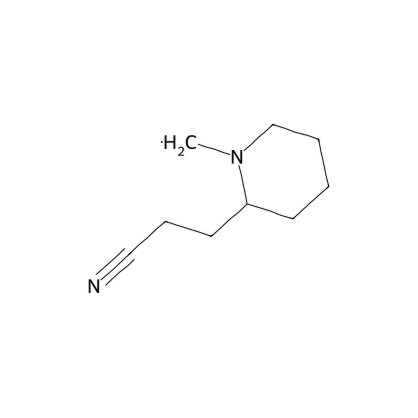 [CH2]N1CCCCC1CCC#N